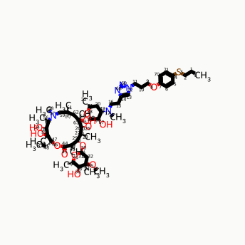 CCCSc1ccc(OCCCn2cc(CCN(C)[C@H]3C[C@@H](C)O[C@@H](O[C@@H]4[C@@H](C)[C@H](O[C@H]5C[C@@](C)(OC)[C@@H](O)[C@H](C)O5)[C@@H](C)C(=O)O[C@H](CC)[C@@](C)(O)[C@H](O)[C@@H](C)N(C)C[C@H](C)C[C@@]4(C)O)[C@@H]3O)nn2)cc1